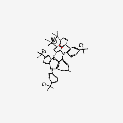 CCC(C)(C)c1ccc(-c2cc(C(C)(C)CC)ccc2N2c3ccc(C(C)(C)CC)cc3B3c4cc(C(C)(C)CC)ccc4N(c4ccc(C(C)(C)CC)cc4)c4cc(C)cc2c43)cc1